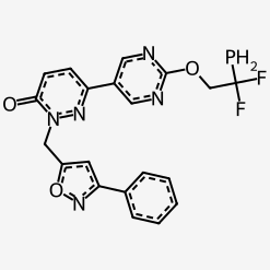 O=c1ccc(-c2cnc(OCC(F)(F)P)nc2)nn1Cc1cc(-c2ccccc2)no1